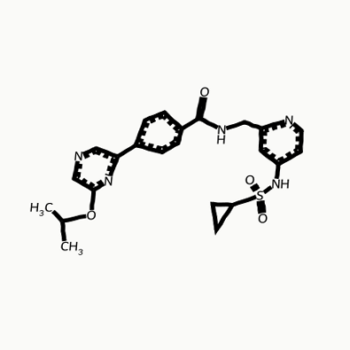 CC(C)Oc1cncc(-c2ccc(C(=O)NCc3cc(NS(=O)(=O)C4CC4)ccn3)cc2)n1